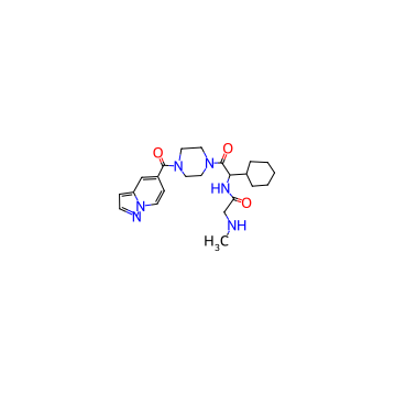 CNCC(=O)NC(C(=O)N1CCN(C(=O)c2ccn3nccc3c2)CC1)C1CCCCC1